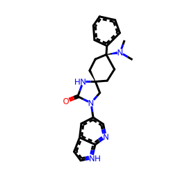 CN(C)[C@]1(c2ccccc2)CC[C@@]2(CC1)CN(c1cnc3[nH]ccc3c1)C(=O)N2